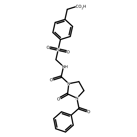 O=C(O)Cc1ccc(S(=O)(=O)CNC(=O)N2CCN(C(=O)c3ccccc3)C2=O)cc1